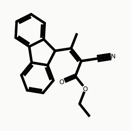 CCOC(=O)/C(C#N)=C(/C)C1c2ccccc2-c2ccccc21